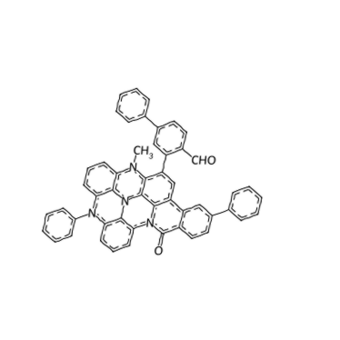 Cn1c2cccc3c2n2c4c1c(-c1cc(-c5ccccc5)ccc1C=O)cc1c5cc(-c6ccccc6)ccc5c(=O)n(c5cccc(c5-2)n3-c2ccccc2)c14